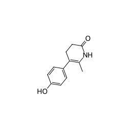 CC1=C(c2ccc(O)cc2)CCC(=O)N1